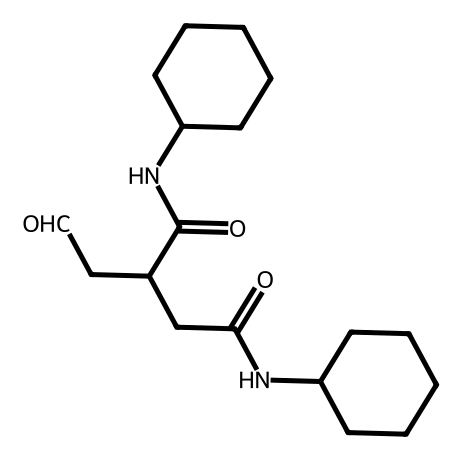 O=CCC(CC(=O)NC1CCCCC1)C(=O)NC1CCCCC1